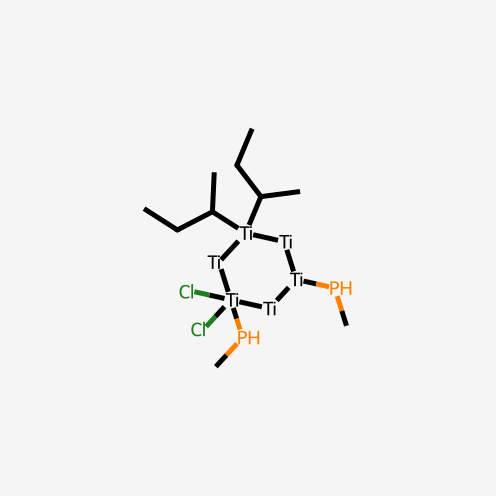 CC[CH](C)[Ti]1([CH](C)CC)[Ti][Ti]([PH]C)[Ti][Ti]([Cl])([Cl])([PH]C)[Ti]1